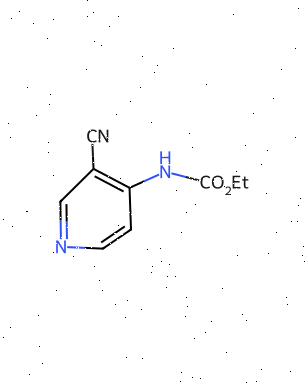 CCOC(=O)Nc1ccncc1C#N